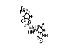 CCC(=O)Nc1cc(C(=N)NC[C@@H](C)Oc2ncc(C(F)(F)F)cc2Cl)cc(C)n1